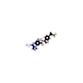 CN(C(=O)c1cc2c(cc1F)nc(N)c1cncn12)[C@@H]1COc2cc([C@H]3C[C@@H]3C(F)F)ccc21